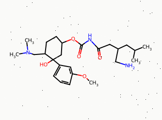 COc1cccc(C2(O)CC(OC(=O)NC(=O)CC(CN)CC(C)C)CCC2CN(C)C)c1